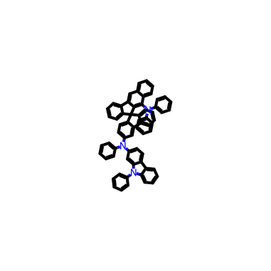 c1ccc(N(c2ccc3c(c2)-c2ccccc2C32c3ccccc3-c3cc4ccccc4c(N(c4ccccc4)c4ccccc4)c32)c2ccc3c4ccccc4n(-c4ccccc4)c3c2)cc1